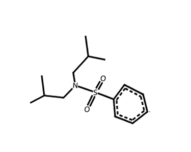 CC(C)CN(CC(C)C)S(=O)(=O)c1cc[c]cc1